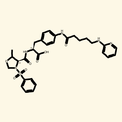 CC1OCN(S(=O)(=O)c2ccccc2)[C@@H]1C(=O)N[C@@H](Cc1ccc(NC(=O)CCCCNc2ccccn2)cc1)C(=O)O